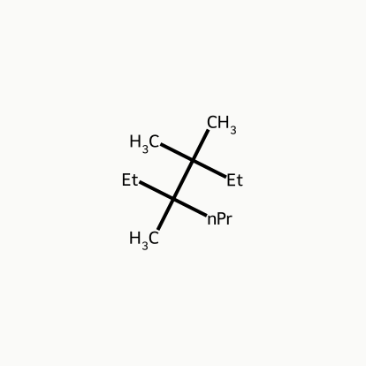 [CH2]CC(C)(C)C(C)(CC)CCC